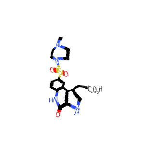 CN1CCN(S(=O)(=O)c2ccc3[nH]c(=O)c4[nH]cc(CC(=O)O)c4c3c2)CC1